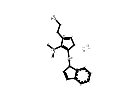 C[SiH](C)C1=[C]([Zr+2][CH]2C=Cc3ccccc32)CC=C1CCO.[Cl-].[Cl-]